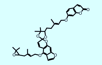 C/C(=C\COc1ccc2ccc(=O)oc2c1)CCC1OC2(C=Cc3c(cc4occc4c3OC/C=C(\C)CC3OC3(C)C)O2)OC1(C)C